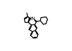 CC1=CCC(c2cc3ccccc3cc2C(=N)C2CCCCC2)=C1